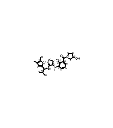 Cc1cc(C(Nc2nsnc2Nc2cccc(C(=O)N3CC[C@@H](O)C3)c2O)C(C)C)oc1C